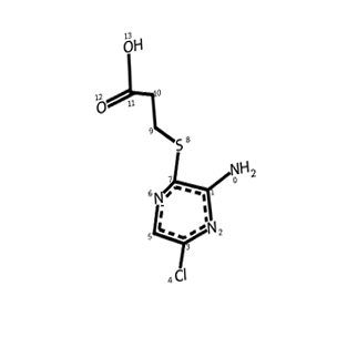 Nc1nc(Cl)cnc1SCCC(=O)O